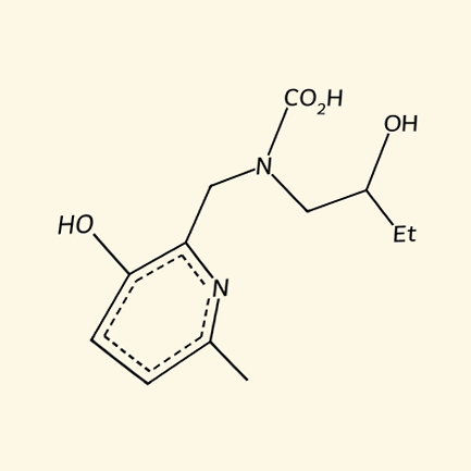 CCC(O)CN(Cc1nc(C)ccc1O)C(=O)O